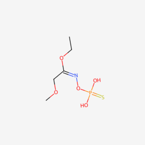 CCOC(COC)=NOP(O)(O)=S